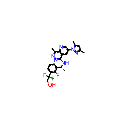 Cc1cc(C)n(-c2cnc3c(C)nnc(N[C@H](C)c4cccc(C(F)(F)CO)c4F)c3c2)n1